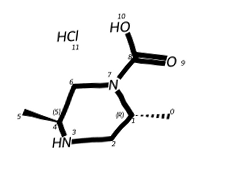 C[C@@H]1CN[C@@H](C)CN1C(=O)O.Cl